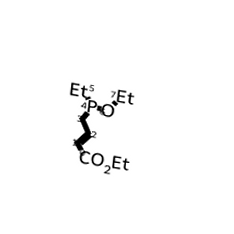 CCOC(=O)/C=C/CP(CC)OCC